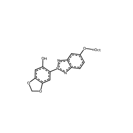 CCCCCCCCOc1ccc2nn(-c3cc4c(cc3O)OCO4)nc2c1